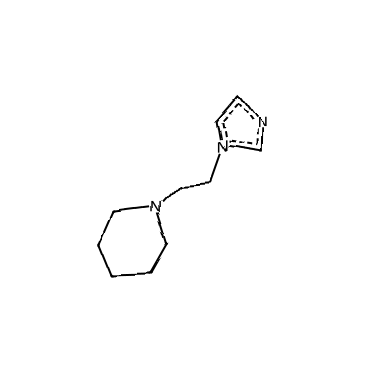 c1cn(CCN2CCCCC2)cn1